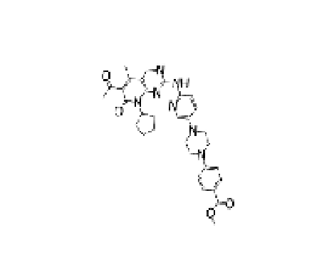 COC(=O)c1ccc(N2CCN(c3ccc(Nc4ncc5c(C)c(C(C)=O)c(=O)n(C6CCCC6)c5n4)nc3)CC2)cc1